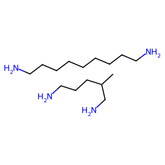 CC(CN)CCCN.NCCCCCCCCCN